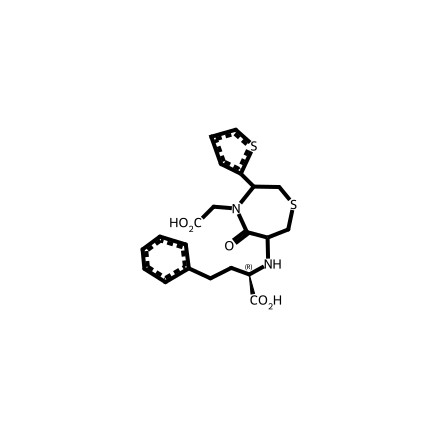 O=C(O)CN1C(=O)C(N[C@H](CCc2ccccc2)C(=O)O)CSCC1c1cccs1